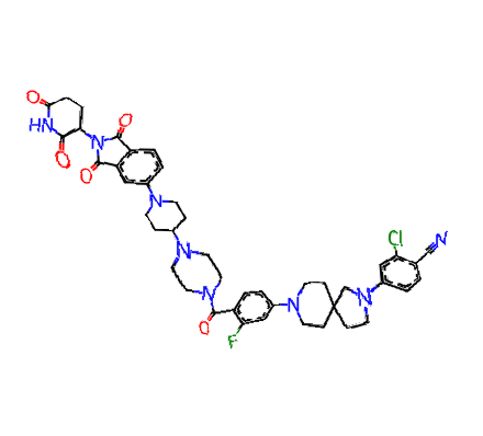 N#Cc1ccc(N2CCC3(CCN(c4ccc(C(=O)N5CCN(C6CCN(c7ccc8c(c7)C(=O)N(C7CCC(=O)NC7=O)C8=O)CC6)CC5)c(F)c4)CC3)C2)cc1Cl